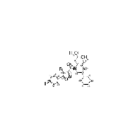 CC(C)CC1C(=O)NC(C2CCCCC2)CN1C(=O)c1noc(-c2ccc(F)cc2)c1F